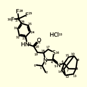 CC(C)N1/C(=N/C23CC4CC(CC(C4)C2)C3)SCC1CC(=O)Nc1ccc(C(F)(F)F)cc1.Cl